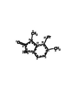 Cc1ccc2[nH]c(=O)n(C)c2c1C(C)C